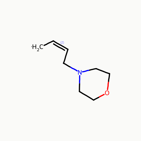 [CH2]/C=C\CN1CCOCC1